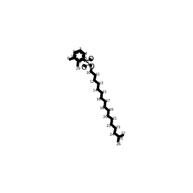 Cc1cccc(S(=O)(=O)OCCCCCCCCCCCCCCCC(C)C)c1C